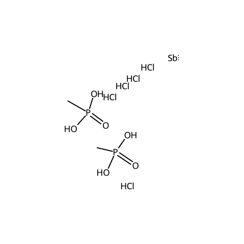 CP(=O)(O)O.CP(=O)(O)O.Cl.Cl.Cl.Cl.Cl.[Sb]